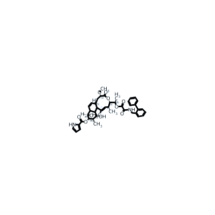 CO[C@H]1C[C@H]2C=CC3C4[C@H](O)[C@@H](C)[C@@H](OC(=O)c5ccc[nH]5)[C@@H]3O[C@]42/C(C)=C/[C@@H](C)[C@@H]([C@@H](C)OC(=O)C(=O)NCc2ccccc2-c2ccccc2)OC1=O